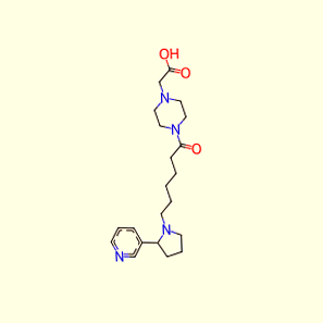 O=C(O)CN1CCN(C(=O)CCCCCN2CCCC2c2cccnc2)CC1